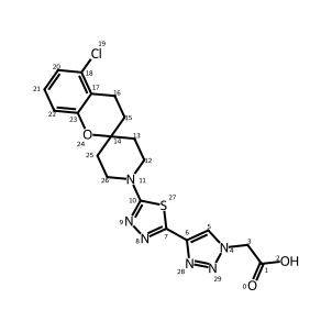 O=C(O)Cn1cc(-c2nnc(N3CCC4(CCc5c(Cl)cccc5O4)CC3)s2)nn1